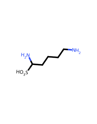 NCCCCC(N)S(=O)(=O)O